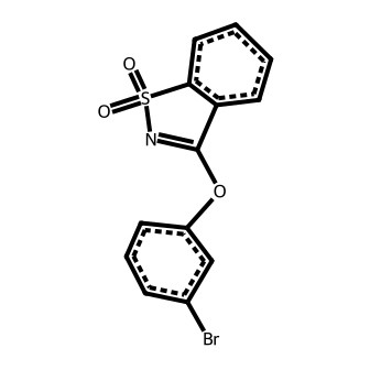 O=S1(=O)N=C(Oc2cccc(Br)c2)c2ccccc21